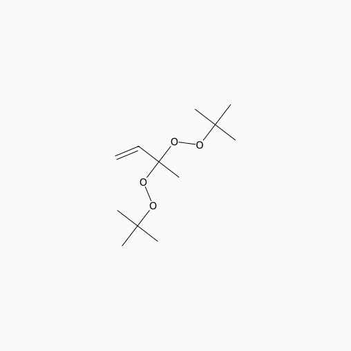 C=CC(C)(OOC(C)(C)C)OOC(C)(C)C